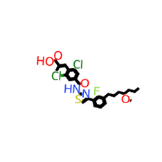 CCCC(CCCc1cccc(-c2csc(NC(=O)c3cc(Cl)c(C=C(C)C(=O)O)c(Cl)c3)n2)c1F)OC